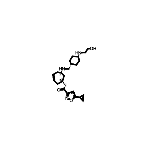 O=C(N[C@H]1CC=CC[C@H](NC[C@H]2CC[C@H](NCCO)CC2)C1)c1cc(C2CC2)on1